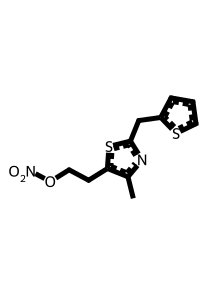 Cc1nc(Cc2cccs2)sc1CCO[N+](=O)[O-]